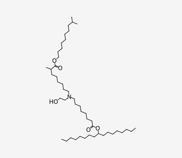 CCCCCCCCC(CCCCCCCC)OC(=O)CCCCCCCN(CCO)CCCCCCC(C)C(=O)OCCCCCCCCC(C)C